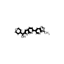 Cn1nnc2cc(-c3ccc4cc([C@@H](O)C5CCOCC5)sc4n3)cnc21